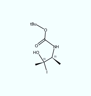 C[C@H](NC(=O)OC(C)(C)C)[C@@](C)(O)I